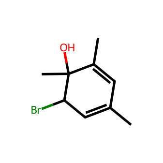 CC1=CC(Br)C(C)(O)C(C)=C1